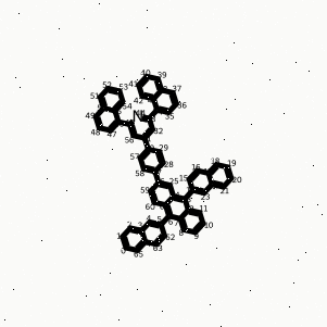 c1ccc2cc(-c3c4ccccc4c(-c4ccc5ccccc5c4)c4cc(-c5ccc(-c6cc(-c7cccc8ccccc78)nc(-c7cccc8ccccc78)c6)cc5)ccc34)ccc2c1